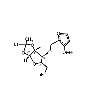 CCC1(C)O[C@H]2O[C@H](CC(C)C)[C@H](OCc3occc3OC)[C@H]2O1